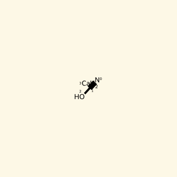 N#CO.[CaH2]